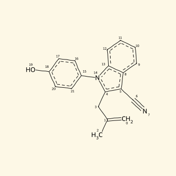 C=C(C)Cc1c(C#N)c2ccccc2n1-c1ccc(O)cc1